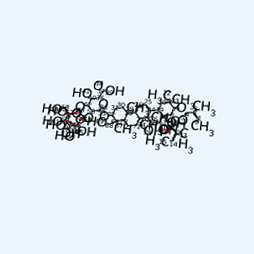 C/C=C(/C)C(=O)O[C@H]1[C@H](OC(=O)/C(C)=C\C)[C@@]2(CO)C(CC1(C)C)C1=CCC3[C@@]4(C)CC[C@H](O[C@@H]5OC(C(=O)O)[C@@H](O)C(O[C@@H]6O[C@@H](CO)C(O)C6O)C5O[C@@H]5OC(CO)[C@@H](O)C(O)C5O)[C@@](C)(CO)C4CC[C@@]3(C)[C@]1(C)[C@@H](O)[C@H]2O